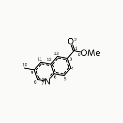 COC(=O)c1ccc2ncc(C)cc2c1